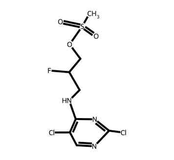 CS(=O)(=O)OCC(F)CNc1nc(Cl)ncc1Cl